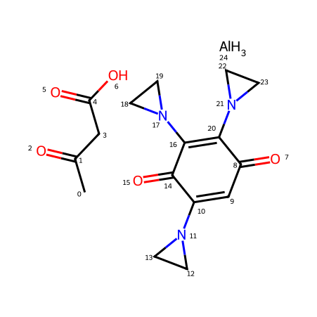 CC(=O)CC(=O)O.O=C1C=C(N2CC2)C(=O)C(N2CC2)=C1N1CC1.[AlH3]